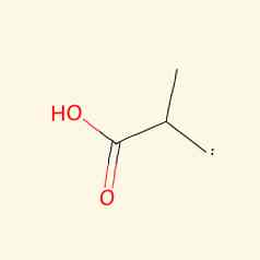 [CH]C(C)C(=O)O